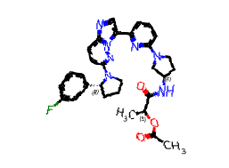 CC(=O)O[C@@H](C)C(=O)N[C@@H]1CCN(c2cccc(-c3cnc4ccc(N5CCC[C@@H]5c5cccc(F)c5)nn34)n2)C1